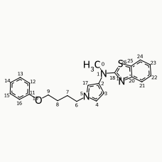 CN(c1ccn(CCCCOc2ccccc2)c1)c1nc2ccccc2s1